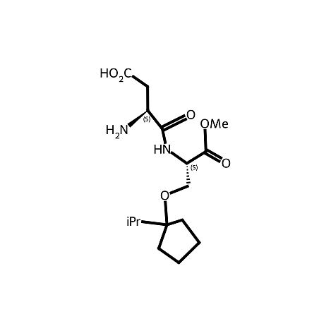 COC(=O)[C@H](COC1(C(C)C)CCCC1)NC(=O)[C@@H](N)CC(=O)O